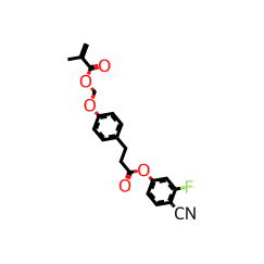 C=C(C)C(=O)OCOc1ccc(CCC(=O)Oc2ccc(C#N)c(F)c2)cc1